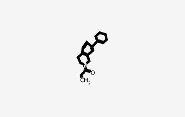 C=CC(=O)N1CCc2ccc(C3=CCCCC3)cc2C1